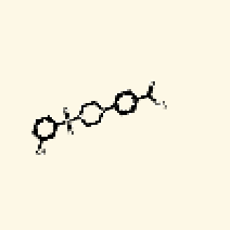 N#Cc1cccc(S(=O)(=O)N2CCN(c3ccc(C(N)=O)cc3)CC2)c1